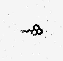 NCCNc1cccc2cccc(Cl)c12